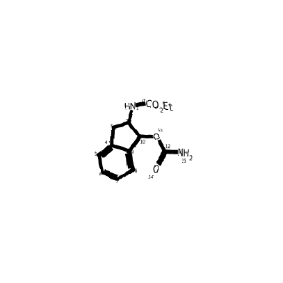 CCOC(=O)NC1Cc2ccccc2C1OC(N)=O